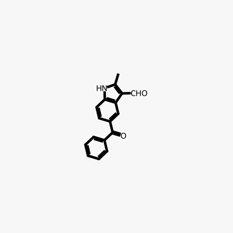 Cc1[nH]c2ccc(C(=O)c3ccccc3)cc2c1C=O